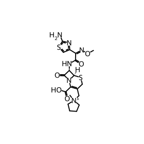 CO/N=C(\C(=O)N[C@@H]1C(=O)N2C(C(=O)O)=C(C[N+]3(C)CCCC3)CS[C@H]12)c1csc(N)n1